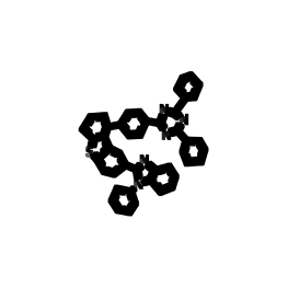 c1ccc(-c2nc(-c3ccccc3)nc(-c3ccc(-c4cccc5sc6ccc(-c7nc8ccccc8n7-c7ccccc7)cc6c45)cc3)n2)cc1